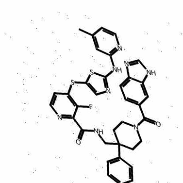 Cc1ccnc(Nc2ncc(Sc3ccnc(C(=O)NCC4(c5ccccc5)CCN(C(=O)c5ccc6nc[nH]c6c5)CC4)c3F)s2)c1